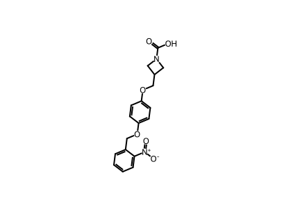 O=C(O)N1CC(COc2ccc(OCc3ccccc3[N+](=O)[O-])cc2)C1